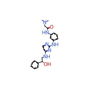 CN(C)CC(=O)Nc1cccc(Nc2nccc(NCC(O)c3ccccc3)n2)c1